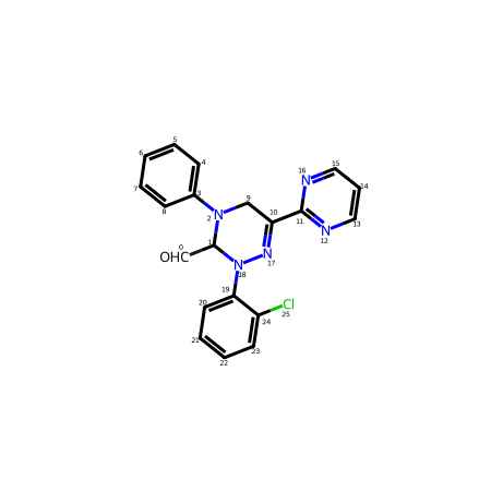 O=CC1N(c2ccccc2)CC(c2ncccn2)=NN1c1ccccc1Cl